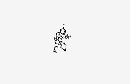 C[C@]12C=CC(=O)C=C1CC[C@H]1[C@@H]3CCC(SCC4CC4)(SCC4CC4)[C@@]3(C)C[C@H](O)C12F